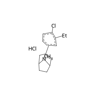 CCc1cc(C2=CC3CCC(C2)N3C)ccc1Cl.Cl